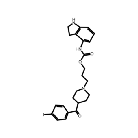 O=C(Nc1cccc2c1CCN2)OCCCN1CCC(C(=O)c2ccc(I)cc2)CC1